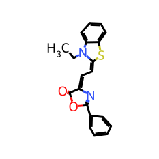 CCN1C(=CC=C2N=C(c3ccccc3)OC2=O)Sc2ccccc21